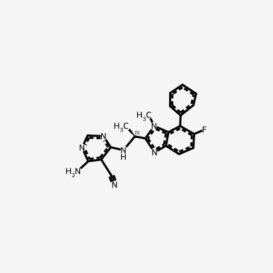 C[C@H](Nc1ncnc(N)c1C#N)c1nc2ccc(F)c(-c3ccccc3)c2n1C